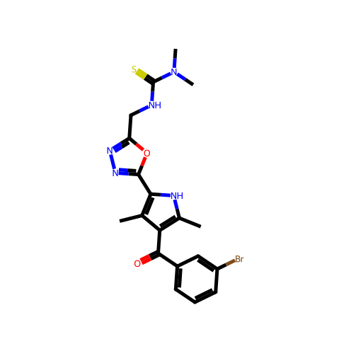 Cc1[nH]c(-c2nnc(CNC(=S)N(C)C)o2)c(C)c1C(=O)c1cccc(Br)c1